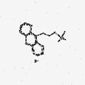 C[N+](C)(C)CCCc1c2ccccc2cc2ccccc12.[Br-]